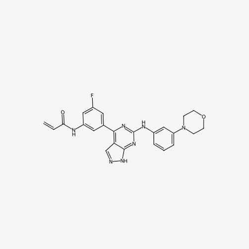 C=CC(=O)Nc1cc(F)cc(-c2nc(Nc3cccc(N4CCOCC4)c3)nc3[nH]ncc23)c1